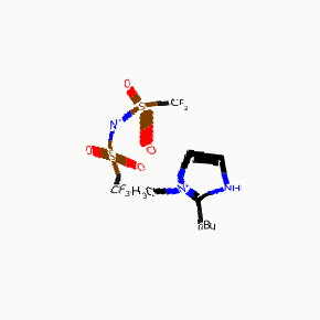 CCCCc1[nH]cc[n+]1C.O=S(=O)([N-]S(=O)(=O)C(F)(F)F)C(F)(F)F